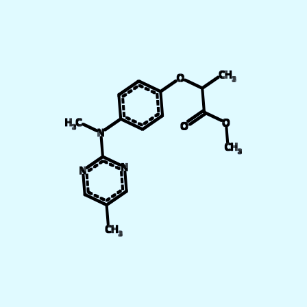 COC(=O)C(C)Oc1ccc(N(C)c2ncc(C)cn2)cc1